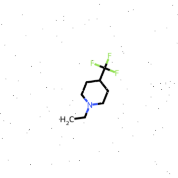 [CH2]CN1CCC(C(F)(F)F)CC1